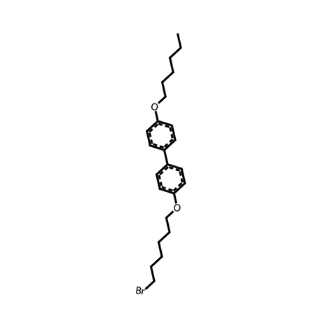 CCCCCCOc1ccc(-c2ccc(OCCCCCCBr)cc2)cc1